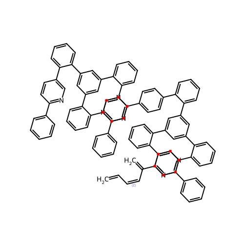 C=C/C=C\C(=C)c1ccc(-c2ccccc2-c2cc(-c3ccccc3-c3ccc(-c4ncc(-c5ccccc5-c5cc(-c6ccccc6-c6ccc(-c7ccccc7)nc6)cc(-c6ccccc6-c6ccc(-c7ccccc7)nc6)c5)cn4)cc3)cc(-c3ccccc3-c3ccc(-c4ccccc4)nc3)c2)cn1